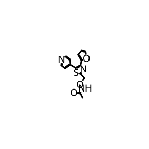 CC(=O)NOCc1nc(-c2ccco2)c(-c2ccncc2)s1